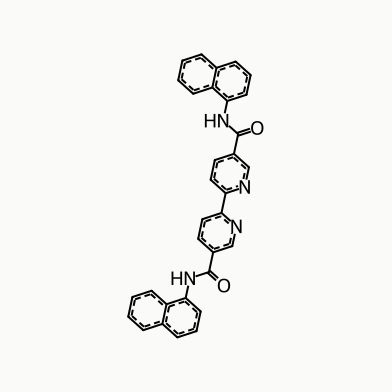 O=C(Nc1cccc2ccccc12)c1ccc(-c2ccc(C(=O)Nc3cccc4ccccc34)cn2)nc1